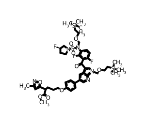 COC(=O)C(CCCOc1ccc(-c2cnc3c(c2)c(C(=O)c2c(F)ccc(N(COCC[Si](C)(C)C)S(=O)(=O)N4CC[C@@H](F)C4)c2F)cn3COCC[Si](C)(C)C)cc1)c1cc(C)no1